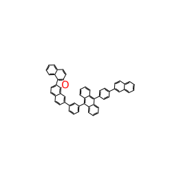 c1cc(-c2ccc3ccc4c(oc5ccc6ccccc6c54)c3c2)cc(-c2c3ccccc3c(-c3ccc(-c4ccc5ccccc5c4)cc3)c3ccccc23)c1